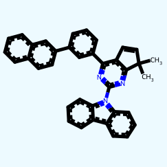 CC1(C)C=Cc2c(-c3cccc(-c4ccc5ccccc5c4)c3)nc(-n3c4ccccc4c4ccccc43)nc21